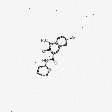 Cn1c(=O)c(C(=O)Nc2ccccn2)cc2cc(Br)ccc21